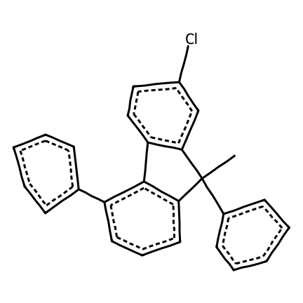 CC1(c2ccccc2)c2cc(Cl)ccc2-c2c(-c3ccccc3)cccc21